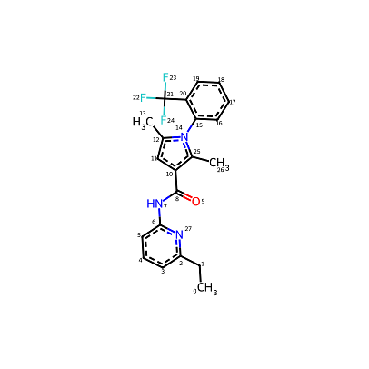 CCc1cccc(NC(=O)c2cc(C)n(-c3ccccc3C(F)(F)F)c2C)n1